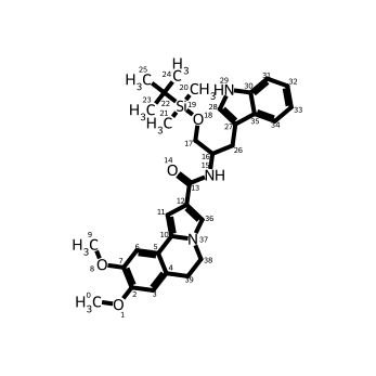 COc1cc2c(cc1OC)-c1cc(C(=O)NC(CO[Si](C)(C)C(C)(C)C)Cc3c[nH]c4ccccc34)cn1CC2